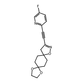 Fc1ccc(C#CC2=NOC3(CCC4(CC3)OCCO4)C2)nc1